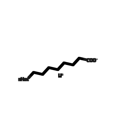 CCCCCCCCCCCCCC(=O)[O-].[Li+]